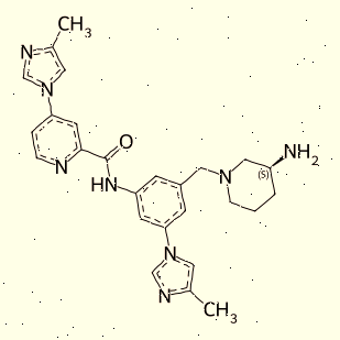 Cc1cn(-c2cc(CN3CCC[C@H](N)C3)cc(NC(=O)c3cc(-n4cnc(C)c4)ccn3)c2)cn1